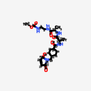 CCCOC(=O)NCCNC(=O)[C@H](C)NC(=O)C(NC(=O)C1CCC(CN2C(=O)C=CC2=O)CC1)C(C)C